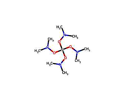 CN(C)O[Si](ON(C)C)(ON(C)C)ON(C)C